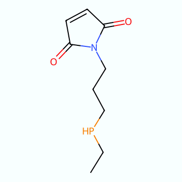 CCPCCCN1C(=O)C=CC1=O